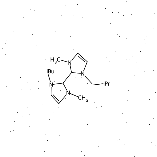 CCC(C)N1C=CN(C)C1C1N(C)C=CN1CC(C)C